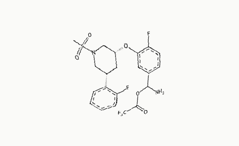 CS(=O)(=O)N1C[C@H](Oc2cc(C(N)OC(=O)C(F)(F)F)ccc2F)C[C@H](c2ccccc2F)C1